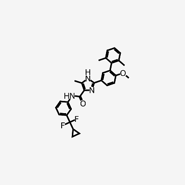 COc1ccc(-c2nc(C(=O)Nc3cccc(C(F)(F)C4CC4)c3)c(C)[nH]2)cc1-c1c(C)cccc1C